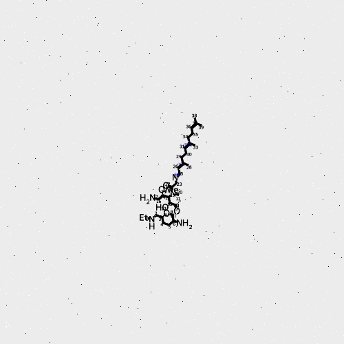 CCNCC1CCC(N)[C@@H](O[C@@H](C)C(O)C([C@H](CN)OC)N(C)C(=O)C/N=C/C=C(\C)CC/C=C(\C)CCC=C(C)C)O1